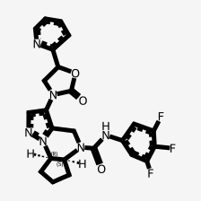 O=C1OC(c2ccccn2)CN1c1cnn2c1CN(C(=O)Nc1cc(F)c(F)c(F)c1)[C@H]1CCC[C@H]12